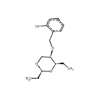 CC[C@H]1OC[C@@H](OCc2ccccc2Cl)[C@@H](CC)O1